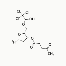 [3H][C@H]1CC(OC(=O)CCC(C)=O)[C@@H](COC(O)C(Cl)(Cl)Cl)O1